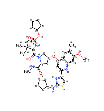 CNC(=O)[C@@H]1C[C@@H](Oc2cc(-c3csc(NC4CCCC4)n3)nc3cc(OC)c(C)cc23)CN1C(=O)[C@@H](NC(=O)OC1CCCC1)C(C)(C)C